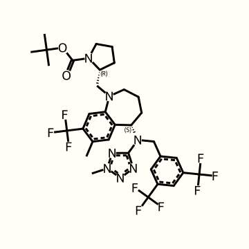 Cc1cc2c(cc1C(F)(F)F)N(C[C@H]1CCCN1C(=O)OC(C)(C)C)CCC[C@@H]2N(Cc1cc(C(F)(F)F)cc(C(F)(F)F)c1)c1nnn(C)n1